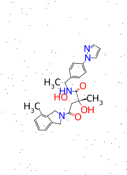 Cc1cccc2c1CN(C(=O)[C@H](O)[C@@](C)(O)C(=O)N[C@H](C)c1ccc(-n3cccn3)cc1)C2